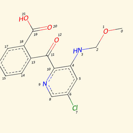 COCNc1cc(Cl)cnc1C(=O)c1ccccc1C(=O)O